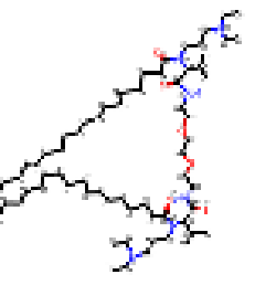 CCCCCCCCCCCCCCCCCC(=O)N(CCCN(CC)CC)C(C(=O)NCCOCCOCCNC(=O)C(C(C)C)N(CCCN(CC)CC)C(=O)CCCCCCCCCCCCCCCCC)C(C)C